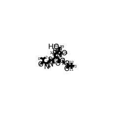 CC(C)C(=O)c1ncn2cc(C3=C(C(=O)OCOC(=O)C(C)(C)C)N4C(=O)[C@H]([C@@H](C)O)[C@H]4[C@H]3C)sc12